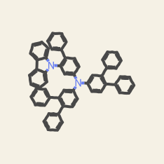 c1ccc(-c2ccc(N(c3ccc(-c4ccccc4)c(-c4ccccc4)c3)c3ccc(-c4ccccc4)c(-n4c5ccccc5c5ccccc54)c3)cc2-c2ccccc2)cc1